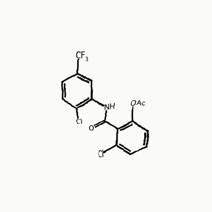 CC(=O)Oc1cccc(Cl)c1C(=O)Nc1cc(C(F)(F)F)ccc1Cl